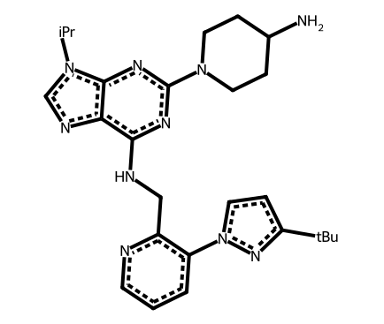 CC(C)n1cnc2c(NCc3ncccc3-n3ccc(C(C)(C)C)n3)nc(N3CCC(N)CC3)nc21